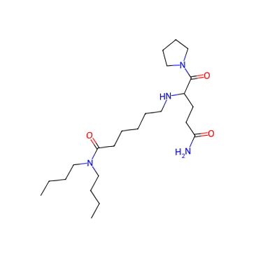 CCCCN(CCCC)C(=O)CCCCCNC(CCC(N)=O)C(=O)N1CCCC1